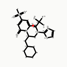 Cc1cc(S(C)(=O)=O)cc(=O)n1C(CC1CCCCC1)CN(C(=O)C(F)(F)F)c1nccs1